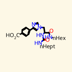 CCCCCCCNC(=O)NC(Cn1cnc(-c2ccc(C(=O)O)cc2)c1)C(=O)NCCCCCC